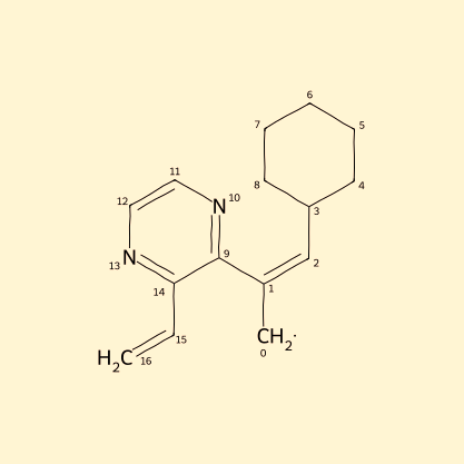 [CH2]C(=CC1CCCCC1)c1nccnc1C=C